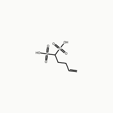 C=CCCC(S(=O)(=O)O)S(=O)(=O)O